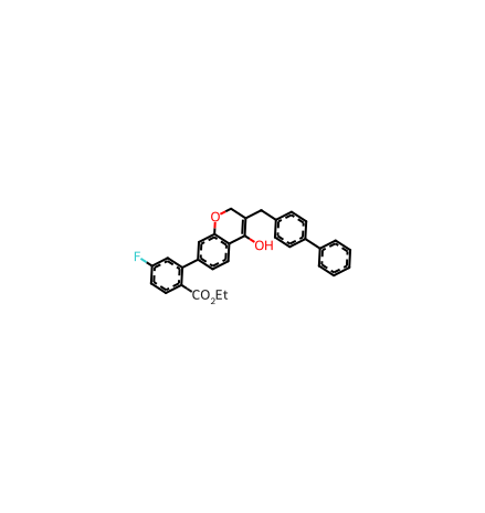 CCOC(=O)c1ccc(F)cc1-c1ccc2c(c1)OCC(Cc1ccc(-c3ccccc3)cc1)=C2O